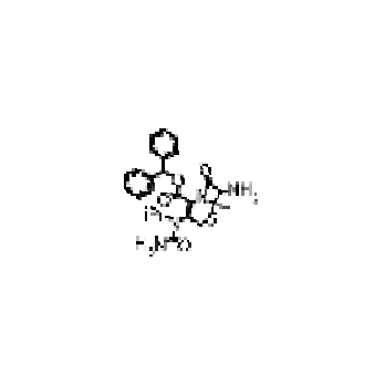 CC(C)N(C(N)=O)C1=C(C(=O)OC(c2ccccc2)c2ccccc2)N2C(=O)C(N)[C@H]2SC1